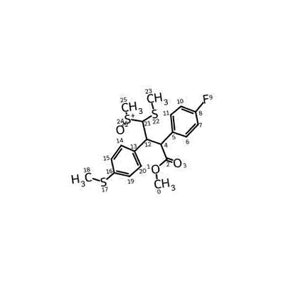 COC(=O)C(c1ccc(F)cc1)C(c1ccc(SC)cc1)C(SC)[S+](C)[O-]